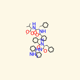 COC(=O)[C@@H](NC(=O)[C@H](Cc1ccccc1)NC(=O)c1ccccc1-c1ccccc1C(=O)N[C@@H](Cc1ccccc1)C(=O)Nc1ccccc1-c1ccccc1N)C(C)C